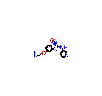 CN(C)CCOc1ccc2c(c1)nc(Nc1cccnc1)n[n+]2[O-]